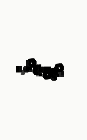 COc1ncccc1-c1ccnc(Nc2cccc(S(=O)(=O)NC3CCCCC3)c2)n1